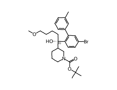 COCCCC[C@@](O)(c1ccc(Br)cc1-c1cccc(C)c1)C1CCCN(C(=O)OC(C)(C)C)C1